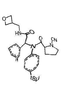 CC(C)(C)c1ccc(N(C(=O)C2CCCN2C#N)C(C(=O)NCC2COC2)c2cccnc2)cc1